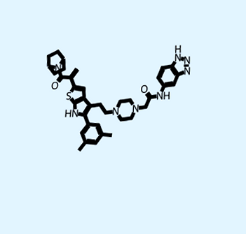 C=C(C(=O)N1C2CCC1CC2)c1cc2c(CCN3CCN(CC(=O)Nc4ccc5[nH]nnc5c4)CC3)c(-c3cc(C)cc(C)c3)[nH]c2s1